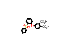 O=C(O)c1ccc(Oc2ccccc2S(=O)(=O)c2ccccc2)cc1C(=O)O